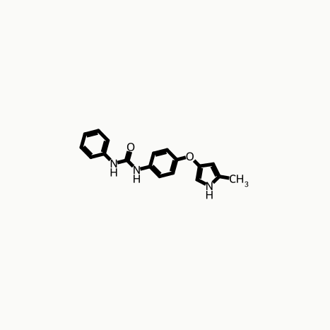 Cc1cc(Oc2ccc(NC(=O)Nc3ccccc3)cc2)c[nH]1